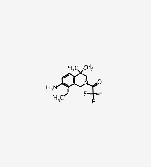 CCc1c(N)ccc2c1CN(C(=O)C(F)(F)F)CC2(C)C